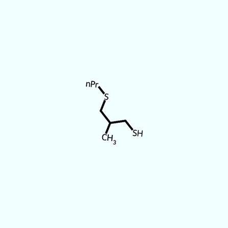 CCCSCC(C)CS